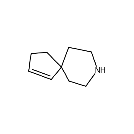 C1=CC2(CC1)CCNCC2